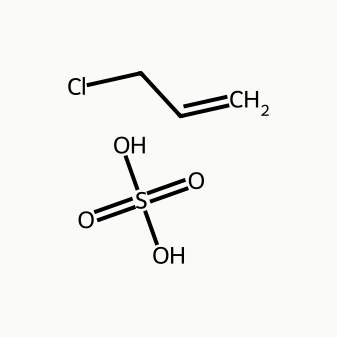 C=CCCl.O=S(=O)(O)O